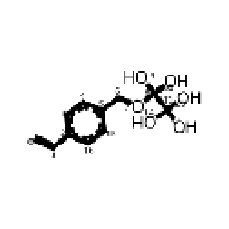 C=Cc1ccc(COC(O)(O)C(O)(O)O)cc1